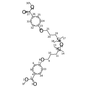 COC(=O)c1ccc(OCCC[Si](C)(C)O[Si](C)(C)CCCOc2ccc(C(=O)OC)cc2)cc1